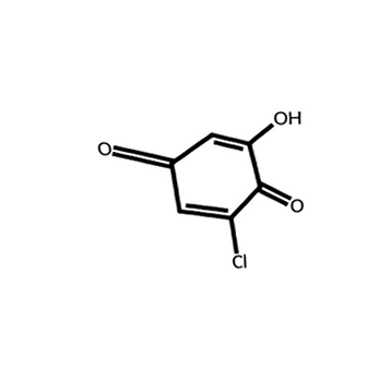 O=C1C=C(O)C(=O)C(Cl)=C1